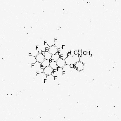 C[NH+](C)c1ccccc1.Fc1c(F)c(F)c([B-](c2c(F)c(F)c(F)c(F)c2F)(c2c(F)c(F)c(F)c(F)c2F)c2c(F)c(F)c(C(F)(F)F)c(F)c2F)c(F)c1F